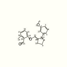 COc1cccc(N2CCC[C@H]2COc2cccc(C)c2C=O)c1